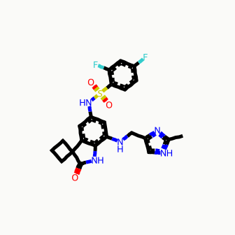 Cc1nc(CNc2cc(NS(=O)(=O)c3ccc(F)cc3F)cc3c2NC(=O)C32CCC2)c[nH]1